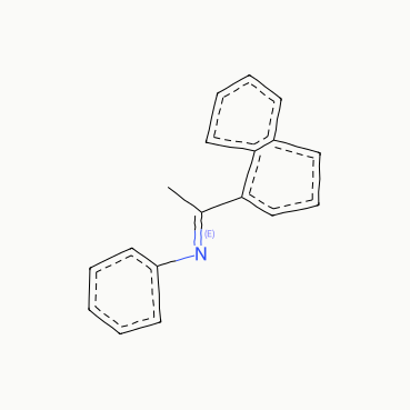 C/C(=N\c1ccccc1)c1cccc2ccccc12